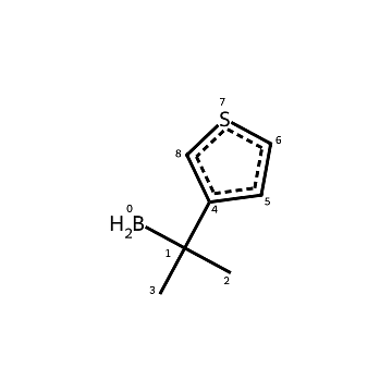 BC(C)(C)c1ccsc1